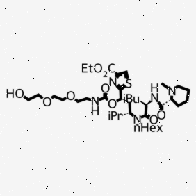 CCCCCCN(C(=O)[C@H](NC(=O)[C@H]1CCCCN1C)[C@H](C)CC)[C@@H](C[C@H](OC(=O)NCCOCCOCCO)c1nc(C(=O)OCC)cs1)C(C)C